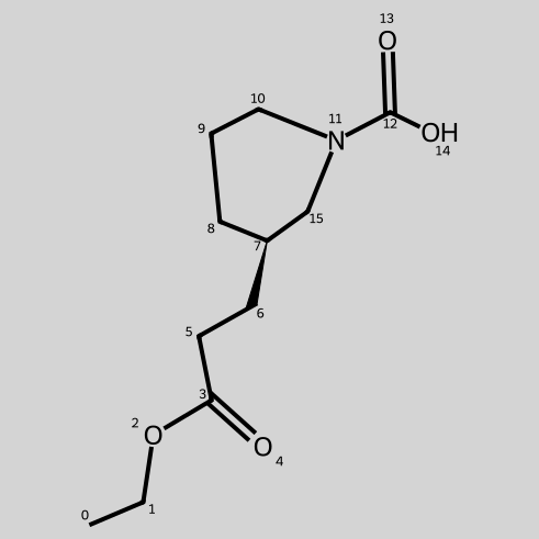 CCOC(=O)CC[C@H]1CCCN(C(=O)O)C1